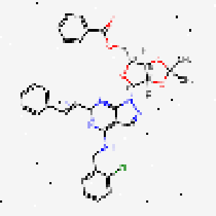 CC1(C)O[C@@H]2[C@H](O1)[C@@H](COC(=O)c1ccccc1)O[C@H]2n1ncc2c(NCc3ccccc3Cl)nc(/C=C/c3ccccc3)nc21